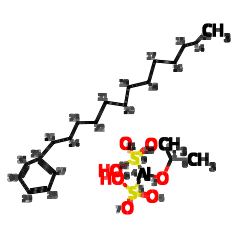 CC(C)[O][Al]([S](=O)(=O)O)[S](=O)(=O)O.CCCCCCCCCCCCCc1ccccc1